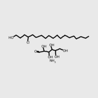 CCCCCCCCCCCCCCCC(Cl)CCCO.N.O=CC(O)C(O)C(O)C(O)CO